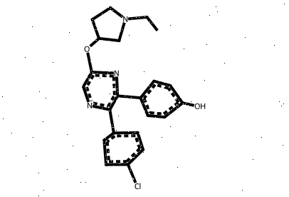 CCN1CCC(Oc2cnc(-c3ccc(Cl)cc3)c(-c3ccc(O)cc3)n2)C1